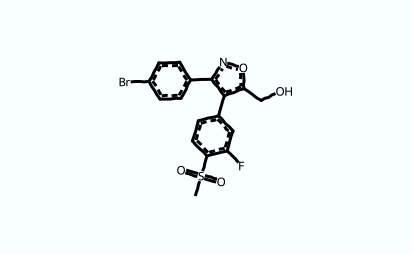 CS(=O)(=O)c1ccc(-c2c(-c3ccc(Br)cc3)noc2CO)cc1F